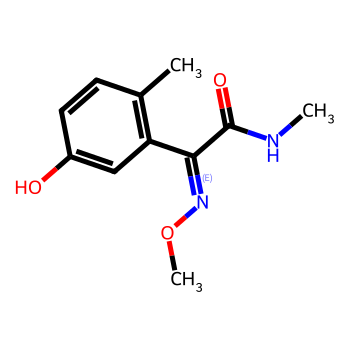 CNC(=O)/C(=N/OC)c1cc(O)ccc1C